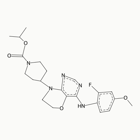 COc1ccc(Nc2ncnc3c2OCCN3C2CCN(C(=O)OC(C)C)CC2)c(F)c1